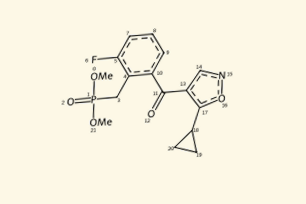 COP(=O)(Cc1c(F)cccc1C(=O)c1cnoc1C1CC1)OC